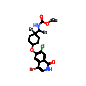 CCC(NC(=O)OC(C)(C)C)C1(CC)CCC(Oc2cc3c(Br)c[nH]c(=O)c3cc2Cl)CC1